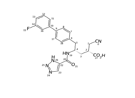 N#CC[C@@H](C[C@@H](Cc1ccc(-c2cccc(F)c2)cc1)NC(=O)c1cnn[nH]1)C(=O)O